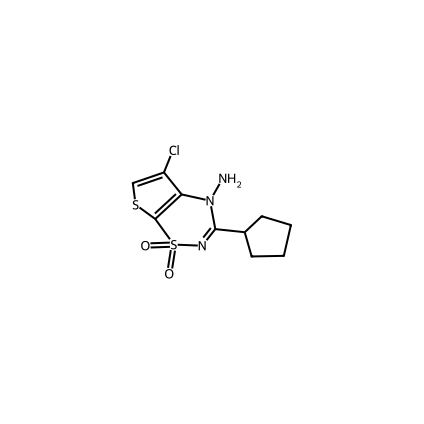 NN1C(C2CCCC2)=NS(=O)(=O)c2scc(Cl)c21